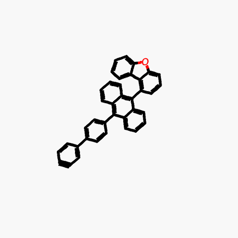 c1ccc(-c2ccc(-c3c4ccccc4c(-c4cccc5oc6ccccc6c45)c4ccccc34)cc2)cc#1